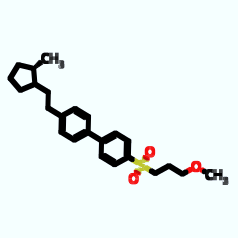 COCCCS(=O)(=O)c1ccc(-c2ccc(CCC3CCC[C@H]3C)cc2)cc1